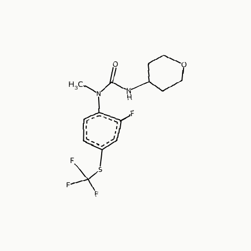 CN(C(=O)NC1CCOCC1)c1ccc(SC(F)(F)F)cc1F